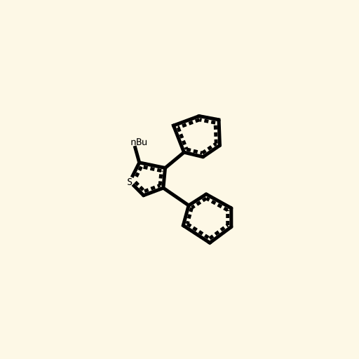 CCCCc1scc(-c2ccccc2)c1-c1ccccc1